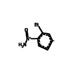 CCc1c[c]ccc1[N+](N)=O